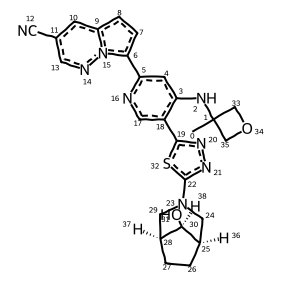 CC1(Nc2cc(-c3ccc4cc(C#N)cnn34)ncc2-c2nnc(N3C[C@H]4CC[C@@H](C3)[C@H]4O)s2)COC1